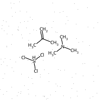 C=C(C)C.CN(C)C.Cl[SiH](Cl)Cl